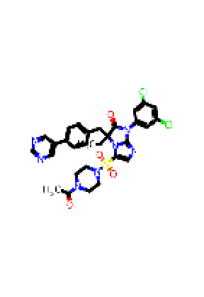 CCC1(Cc2ccc(-c3cncnc3)cc2)C(=O)N(c2cc(Cl)cc(Cl)c2)c2ncc(S(=O)(=O)N3CCN(C(C)=O)CC3)n21